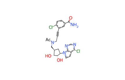 CC(=O)N(CC#Cc1cc(C(N)=O)ccc1Cl)C[C@H]1C[C@@H](n2ccc3c(Cl)ncnc32)[C@H](O)[C@@H]1O